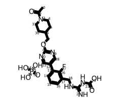 CC(=O)N1CCC(COc2ncc(-c3cccc(CNC(=N)NC(=O)O)c3F)cn2)CC1.O=P(O)(O)O